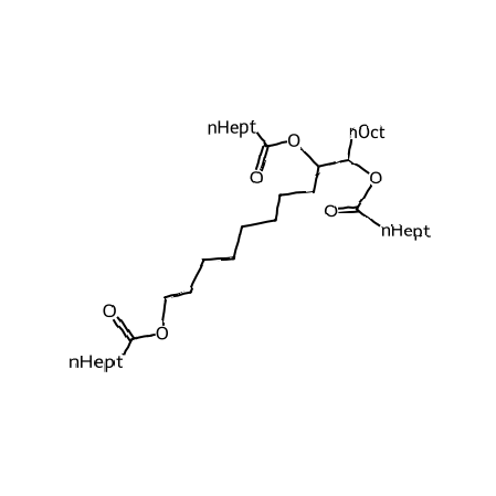 CCCCCCCCC(OC(=O)CCCCCCC)C(CCCCCCCCOC(=O)CCCCCCC)OC(=O)CCCCCCC